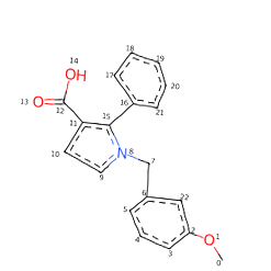 COc1cccc(Cn2ccc(C(=O)O)c2-c2ccccc2)c1